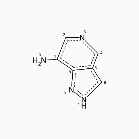 Nc1cncc2c[nH]nc12